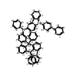 c1ccc(-c2ccc(-n3c4ccccc4c4cc(N(c5ccccc5)c5cccc(C6(c7ccccc7)c7ccccc7C7(c8ccccc8)c8ccccc8-c8cccc6c87)c5)ccc43)cc2)cc1